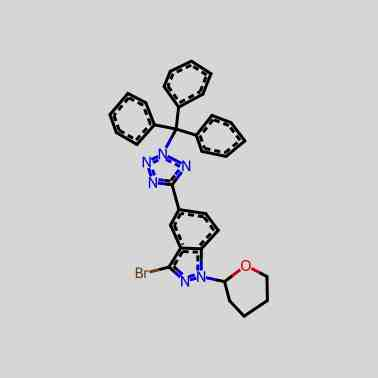 Brc1nn(C2CCCCO2)c2ccc(-c3nnn(C(c4ccccc4)(c4ccccc4)c4ccccc4)n3)cc12